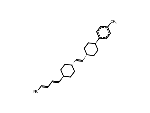 N#CC=CC=C[C@H]1CC[C@H](C=C[C@H]2CC[C@H](c3ccc(C(F)(F)F)cc3)CC2)CC1